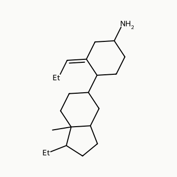 CC/C=C1/CC(N)CCC1C1CCC2(C)C(CC)CCC2C1